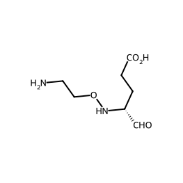 NCCON[C@@H](C=O)CCC(=O)O